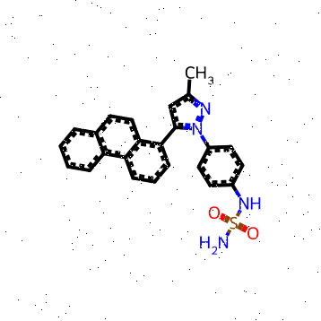 Cc1cc(-c2cccc3c2ccc2ccccc23)n(-c2ccc(NS(N)(=O)=O)cc2)n1